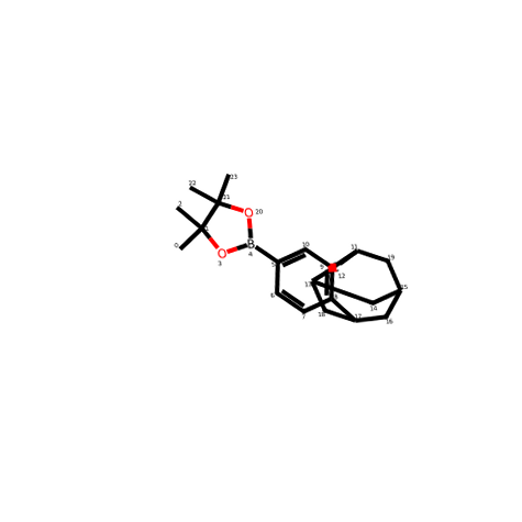 CC1(C)OB(c2ccc3c(c2)C2CC4CC(CC3C4)C2)OC1(C)C